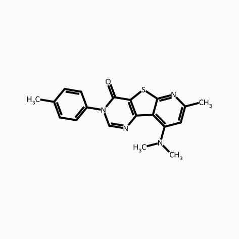 Cc1ccc(-n2cnc3c(sc4nc(C)cc(N(C)C)c43)c2=O)cc1